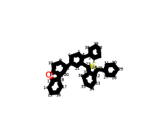 c1ccc(-c2ccc(-c3ccc4oc5ccccc5c4c3)cc2-c2sc(-c3ccccc3)c3ccccc23)cc1